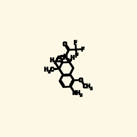 COc1c(N)ccc2c1C[C@H]1N(C(=O)C(F)(F)F)CC[C@]2(C)C1(C)C